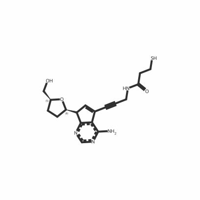 Nc1ncnc2c1C(C#CCNC(=O)CCS)=CC2[C@H]1CC[C@@H](CO)O1